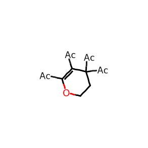 CC(=O)C1=C(C(C)=O)C(C(C)=O)(C(C)=O)CCO1